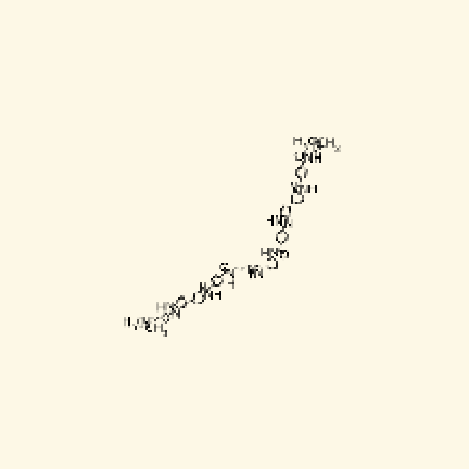 CN(C)CCCOc1nc2cc(-c3ccc4[nH]c(-c5ccc(C(=O)NCCCn6cc(-c7cccc(NC(=O)c8ccc(-c9nc%10cc(-c%11ccc%12[nH]c(-c%13ccc(C(=O)NCCN(C)C)cc%13)nc%12c%11)ccc%10[nH]9)cc8)c7)nn6)cc5)nc4c3)ccc2[nH]1